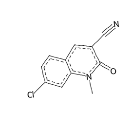 Cn1c(=O)c(C#N)cc2ccc(Cl)cc21